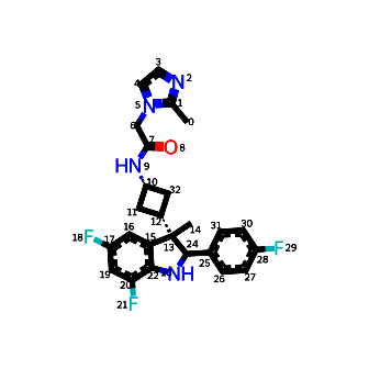 Cc1nccn1CC(=O)N[C@H]1C[C@@H](C2(C)c3cc(F)cc(F)c3NC2c2ccc(F)cc2)C1